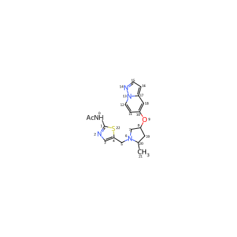 CC(=O)Nc1ncc(CN2CC(Oc3ccn4nccc4c3)CC2C)s1